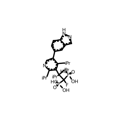 CC(C)c1ncc(-c2ccc3[nH]ncc3c2)c(C(C)C)c1C(C(C)C)(C(C)C)C(F)(P(=O)(O)O)P(=O)(O)O